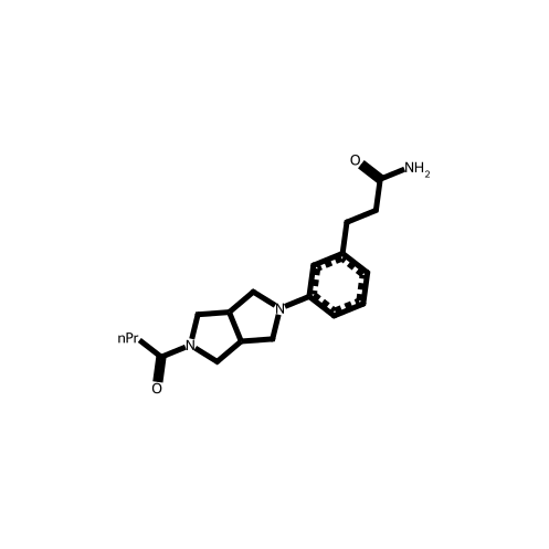 CCCC(=O)N1CC2CN(c3cccc(CCC(N)=O)c3)CC2C1